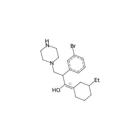 CCC1CCC/C(=C(\O)C(CN2CCNCC2)c2cccc(Br)c2)C1